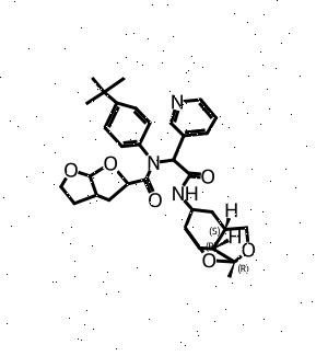 CC(C)(C)c1ccc(N(C(=O)C2CC3CCOC3O2)C(C(=O)NC2C[C@@H]3CO[C@]4(C)OC2C[C@H]34)c2cccnc2)cc1